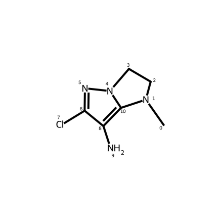 CN1CCn2nc(Cl)c(N)c21